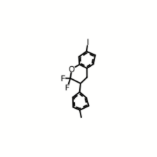 Cc1ccc(C2Cc3ccc(I)cc3OC2(F)F)cc1